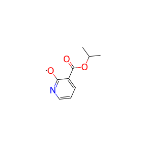 CC(C)OC(=O)c1cccnc1[O]